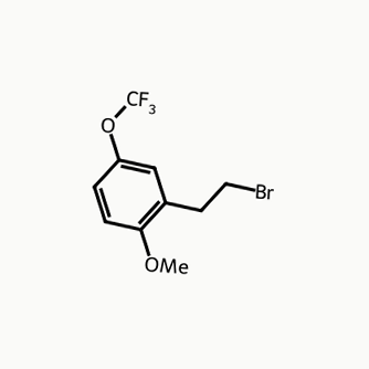 COc1ccc(OC(F)(F)F)cc1CCBr